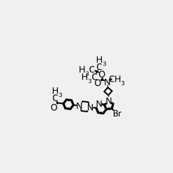 CC(=O)c1ccc(N2CCN(c3ccc4c(Br)cn([C@H]5C[C@H](N(C)C(=O)OC(C)(C)C)C5)c4n3)CC2)cc1